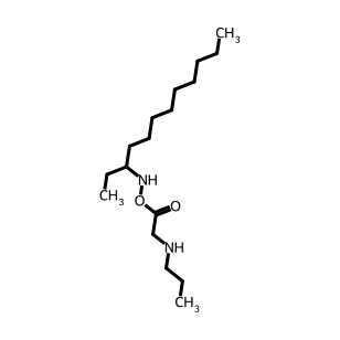 CCCCCCCCCC(CC)NOC(=O)CNCCC